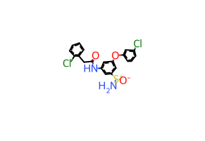 N[S+]([O-])c1cc(NC(=O)Cc2ccccc2Cl)cc(Oc2cccc(Cl)c2)c1